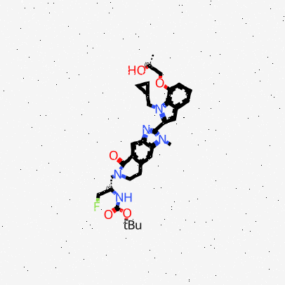 C[C@@H](O)COc1cccc2cc(-c3nc4cc5c(cc4n3C)CCN(C[C@@H](CF)NC(=O)OC(C)(C)C)C5=O)n(CC3CC3)c12